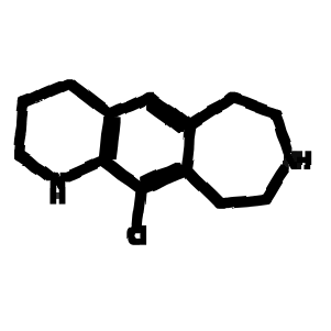 Clc1c2c(cc3c1NCCC3)CCNCC2